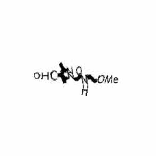 COCCNC(=O)Cn1nc(C)c(C=O)c1C